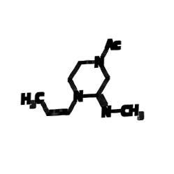 C/C=C\N1CCN(C(C)=O)C/C1=N\C